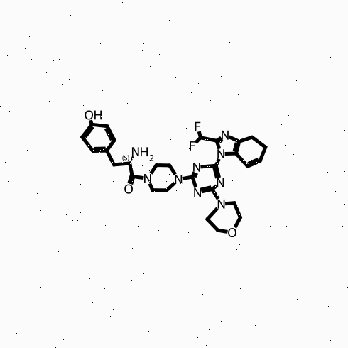 N[C@@H](Cc1ccc(O)cc1)C(=O)N1CCN(c2nc(N3CCOCC3)nc(-n3c(C(F)F)nc4c3C=CCC4)n2)CC1